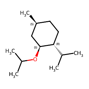 CC(C)O[C@H]1C[C@@H](C)CC[C@@H]1C(C)C